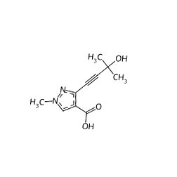 Cn1cc(C(=O)O)c(C#CC(C)(C)O)n1